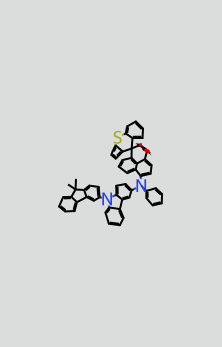 CC1(C)c2ccccc2-c2cc(-n3c4ccccc4c4cc(N(c5ccccc5)c5ccc6c7c(cccc57)C5(c7ccccc7Sc7ccccc75)c5ccccc5-6)ccc43)ccc21